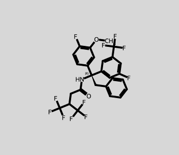 COc1cc([C@@](Cc2ccccc2)(NC(=O)CC(C(F)(F)F)C(F)(F)F)c2cc(F)cc(C(F)(F)F)c2)ccc1F